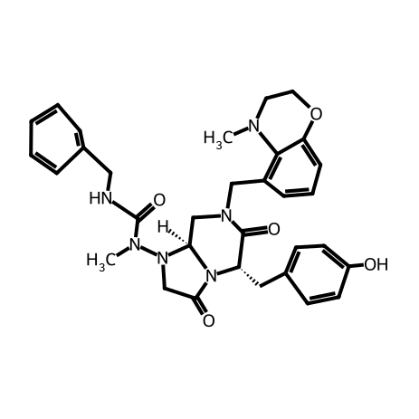 CN1CCOc2cccc(CN3C[C@H]4N(C(=O)CN4N(C)C(=O)NCc4ccccc4)[C@@H](Cc4ccc(O)cc4)C3=O)c21